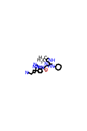 Cn1cnnc1C1(c2cccc(NC(=O)c3cc(CNC4CCCCCCC4)c4c(n3)C(C)(C)CN4)c2)CC(CC#N)C1